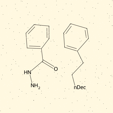 CCCCCCCCCCCCc1ccccc1.NNC(=O)c1ccccc1